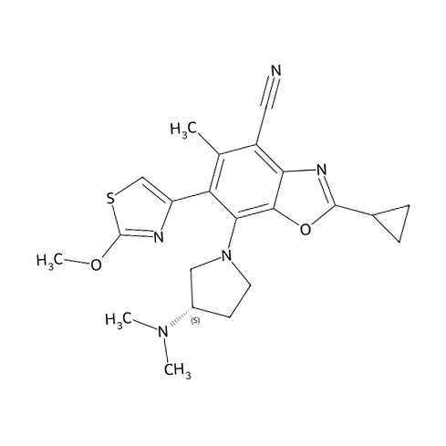 COc1nc(-c2c(C)c(C#N)c3nc(C4CC4)oc3c2N2CC[C@H](N(C)C)C2)cs1